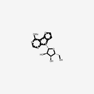 COc1ncnc2c1c1occc1n2[C@@H]1O[C@H](CO)[C@@H](O)[C@H]1O